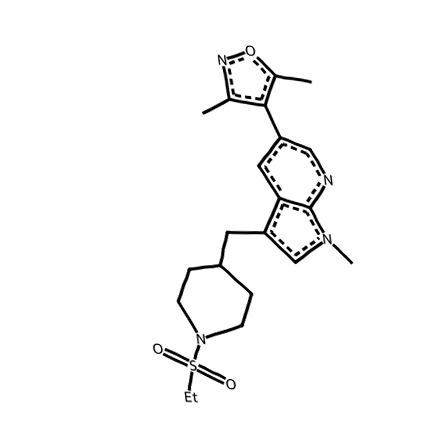 CCS(=O)(=O)N1CCC(Cc2cn(C)c3ncc(-c4c(C)noc4C)cc23)CC1